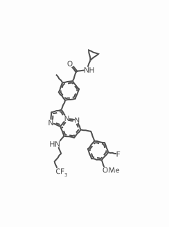 COc1ccc(Cc2cc(NCCC(F)(F)F)c3ncc(-c4ccc(C(=O)NC5CC5)c(C)c4)n3n2)cc1F